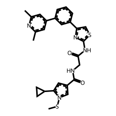 CSn1cc(C(=O)NCC(=O)Nc2nc(-c3cccc(-c4cc(C)nc(C)c4)c3)cs2)cc1C1CC1